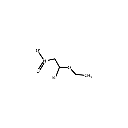 CCOC(Br)C[N+](=O)[O-]